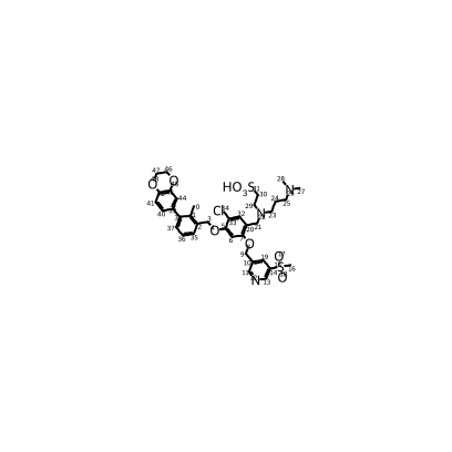 Cc1c(COc2cc(OCc3cncc(S(C)(=O)=O)c3)c(CN(CCCN(C)C)CCS(=O)(=O)O)cc2Cl)cccc1-c1ccc2c(c1)OCCO2